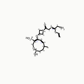 C=CS/C(CN)=N\CC(=O)N1CC(OC2=C(\C(=O)O)COB(O)CCC(C)/C=C\2)C1